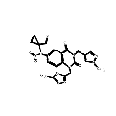 Cc1nnc(Cn2c(=O)n(Cc3cnn(C)c3)c(=O)c3cc(N([SH](=O)=O)C4(CF)CC4)ccc32)o1